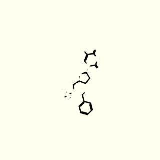 O=c1[nH]c(=O)n([C@H]2C[C@H](OCc3ccccc3)[C@@H]([C@H](OP(=O)(O)O)C(F)(F)F)O2)cc1F